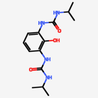 CC(C)NC(=O)Nc1cccc(NC(=O)NC(C)C)c1O